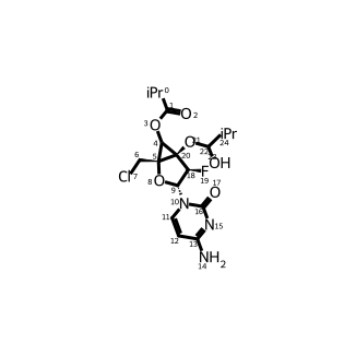 CC(C)C(=O)OC1[C@@]2(CCl)O[C@@H](n3ccc(N)nc3=O)[C@H](F)[C@@]12OC(O)C(C)C